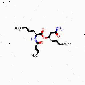 CC=CC(=O)N[C@@H](CCCC(=O)O)C(=O)O[C@@H](CCCCCCCCCCCCC)CC(N)=O